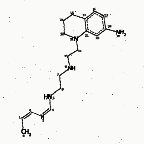 C/C=C\N=C/NCCNCCN1CCCc2ccc(N)cc21